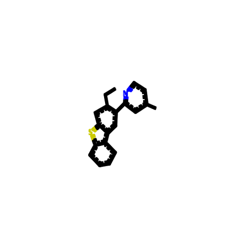 CCc1cc2sc3ccccc3c2cc1-c1cc(C)ccn1